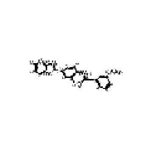 COc1cccc(C(=O)Nc2ccc(-c3nc4ncccc4o3)cc2C)c1